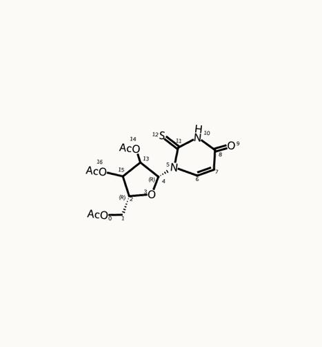 CC(=O)OC[C@H]1O[C@@H](n2ccc(=O)[nH]c2=S)C(OC(C)=O)C1OC(C)=O